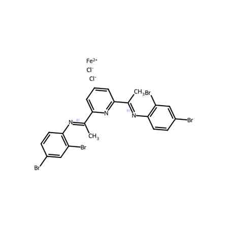 C/C(=N\c1ccc(Br)cc1Br)c1cccc(/C(C)=N/c2ccc(Br)cc2Br)n1.[Cl-].[Cl-].[Fe+2]